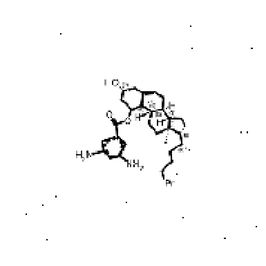 CC(C)CCC[C@@H](C)[C@H]1CC[C@H]2[C@@H]3CC=C4C[C@@H](O)CC(OC(=O)c5cc(N)cc(N)c5)[C@]4(C)[C@H]3CC[C@]12C